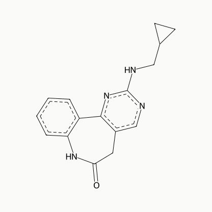 O=C1Cc2cnc(NCC3CC3)nc2-c2ccccc2N1